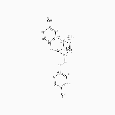 Cc1ccc(CCN2CC[C@]3(C)c4cc(O)ccc4CC2C3C)cc1